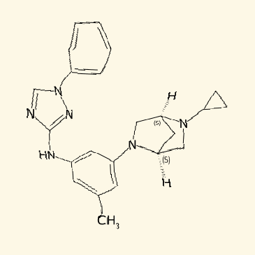 Cc1cc(Nc2ncn(-c3ccccc3)n2)cc(N2C[C@@H]3C[C@H]2CN3C2CC2)c1